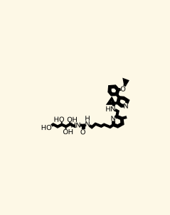 Cc1ccc(CCCCCNC(=O)NC[C@H](O)[C@@H](O)[C@H](O)CCO)nc1CNC1(c2cnccc2-c2ccccc2OC2CC2)CC1